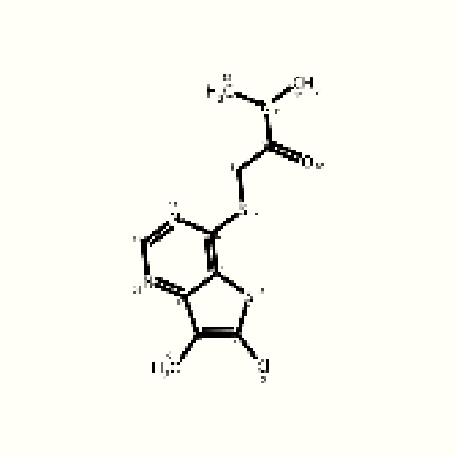 Cc1c(Cl)sc2c(SCC(=O)N(C)C)ncnc12